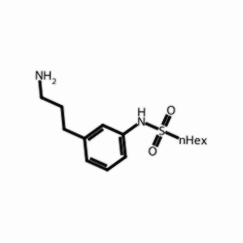 CCCCCCS(=O)(=O)Nc1cccc(CCCN)c1